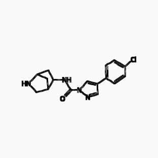 O=C(NC1CC2CC1CN2)n1cc(-c2ccc(Cl)cc2)cn1